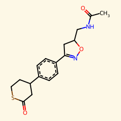 CC(=O)NCC1CC(c2ccc(C3CCSC(=O)C3)cc2)=NO1